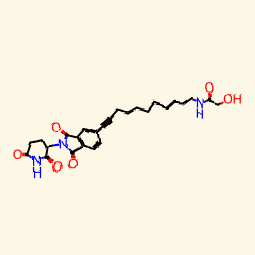 O=C(CO)NCCCCCCCCCC#Cc1ccc2c(c1)C(=O)N(C1CCC(=O)NC1=O)C2=O